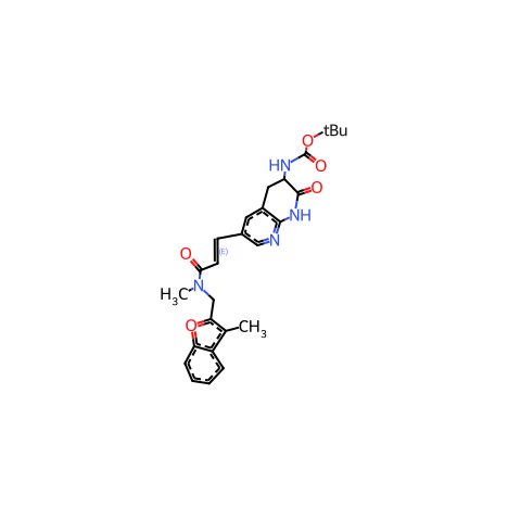 Cc1c(CN(C)C(=O)/C=C/c2cnc3c(c2)CC(NC(=O)OC(C)(C)C)C(=O)N3)oc2ccccc12